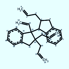 C=CCC1Cc2ccccc2C1C1(C=C)c2ccccc2CC1(CC=C)CC=C